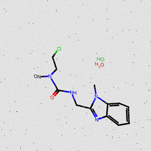 Cl.Cn1c(CNC(=O)N(CCCl)N=O)nc2ccccc21.O